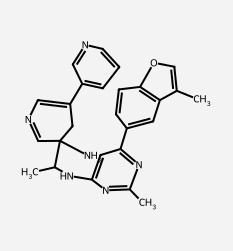 Cc1nc(NC(C)C2(N)C=NC=C(c3cccnc3)C2)cc(-c2ccc3occ(C)c3c2)n1